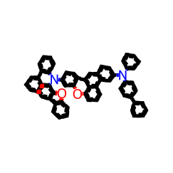 c1ccc(-c2ccc(N(c3ccccc3)c3ccc4cc5c6c(cccc6c4c3)Oc3cc(N(c4ccccc4-c4ccccc4)c4cccc6c4oc4ccccc46)ccc3-5)cc2)cc1